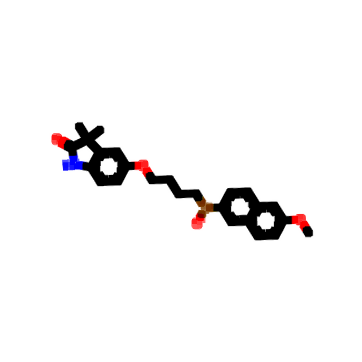 COc1ccc2cc([S+]([O-])CCCCOc3ccc4c(c3)C(C)(C)C(=O)N4)ccc2c1